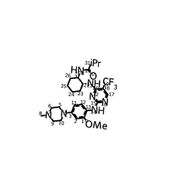 COc1cc(N2CCN(C)CC2)ccc1Nc1ncc(C(F)(F)F)c(N[C@@H]2CCCC[C@H]2NC(=O)C(C)C)n1